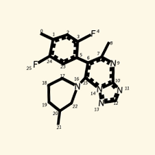 Cc1cc(F)c(-c2c(C)nc3ncnn3c2N2CCCC(C)C2)cc1F